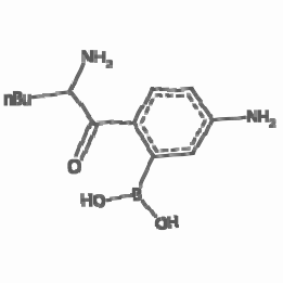 CCCCC(N)C(=O)c1ccc(N)cc1B(O)O